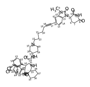 Cn1c(=O)n(C2CCC(=O)NC2=O)c2ccc(C#CCCCCCN3CCC(NC(=O)[C@@H]4NC5(CCCCC5)[C@@]5(C(=O)Nc6cc(Cl)ccc65)[C@H]4c4cccc(Cl)c4F)CC3)cc21